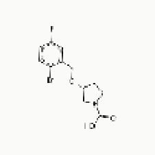 O=C(O)N1CC[C@@H](OCc2cc(F)ccc2Br)C1